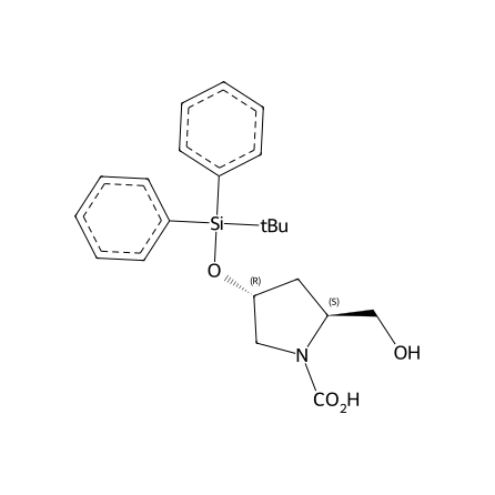 CC(C)(C)[Si](O[C@@H]1C[C@@H](CO)N(C(=O)O)C1)(c1ccccc1)c1ccccc1